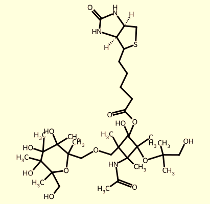 CC(=O)NC(C)(C(C)(CO)COCC1(C)OC(C)(CO)C(C)(O)C(C)(O)C1(C)O)C(C)(COC(=O)CCCCC1SC[C@@H]2NC(=O)N[C@H]12)OC(C)(C)CO